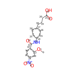 COc1cc([N+](=O)[O-])ccc1C(=O)Nc1ccc(CCCC(=O)O)cc1